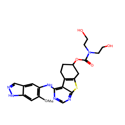 COc1cc2[nH]ncc2cc1Nc1ncnc2sc3c(c12)CCC(OC(=O)N(CCO)CCO)C3